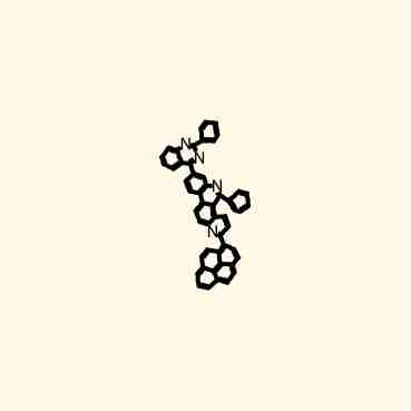 c1ccc(-c2nc(-c3ccc4c(c3)nc(-c3ccccc3)c3c5ccc(-c6ccc7ccc8cccc9ccc6c7c89)nc5ccc43)c3ccccc3n2)cc1